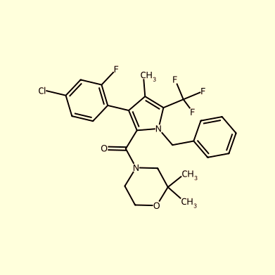 Cc1c(-c2ccc(Cl)cc2F)c(C(=O)N2CCOC(C)(C)C2)n(Cc2ccccc2)c1C(F)(F)F